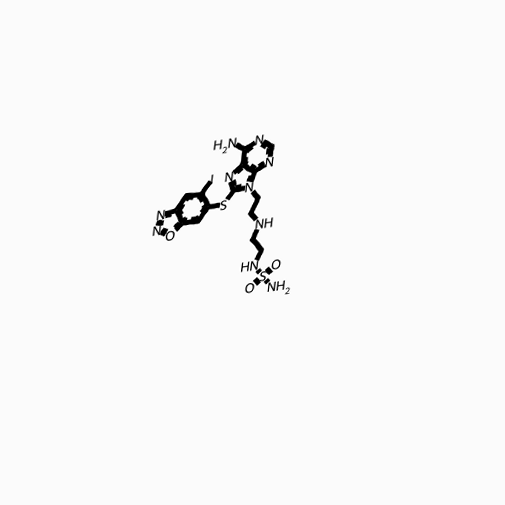 Nc1ncnc2c1nc(Sc1cc3onnc3cc1I)n2CCNCCNS(N)(=O)=O